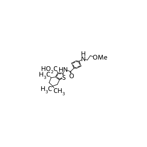 COCCNc1ccc(C(=O)Nc2sc3c(c2C(=O)O)C(C)CC(C)(C)C3)cc1